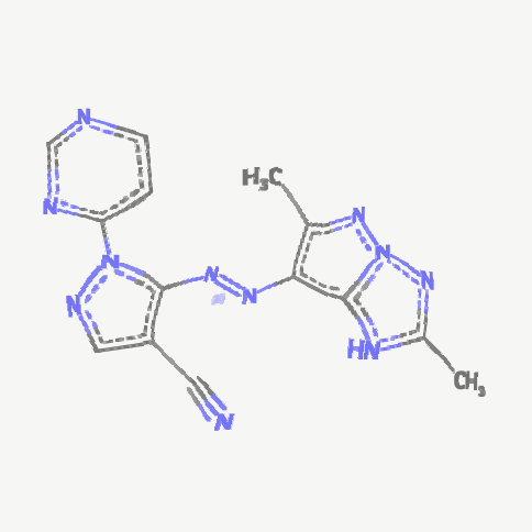 Cc1nn2nc(C)c(/N=N/c3c(C#N)cnn3-c3ccncn3)c2[nH]1